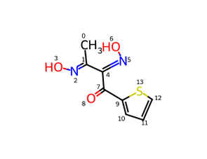 CC(=NO)C(=NO)C(=O)c1cccs1